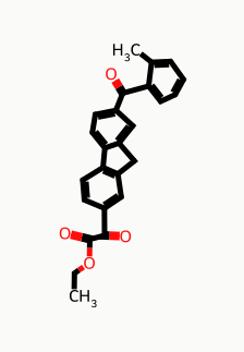 CCOC(=O)C(=O)c1ccc2c(c1)Cc1cc(C(=O)c3ccccc3C)ccc1-2